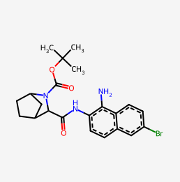 CC(C)(C)OC(=O)N1C2CCC(C2)C1C(=O)Nc1ccc2cc(Br)ccc2c1N